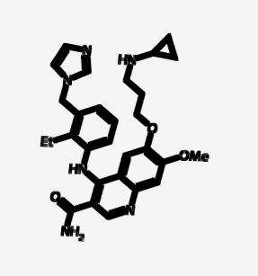 CCc1c(Cn2ccnc2)cccc1Nc1c(C(N)=O)cnc2cc(OC)c(OCCCNC3CC3)cc12